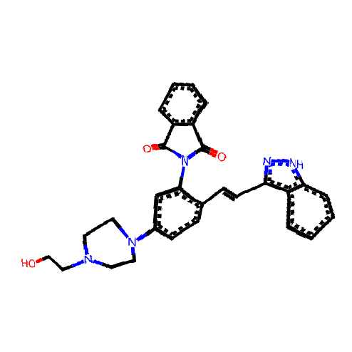 O=C1c2ccccc2C(=O)N1c1cc(N2CCN(CCO)CC2)ccc1/C=C/c1n[nH]c2ccccc12